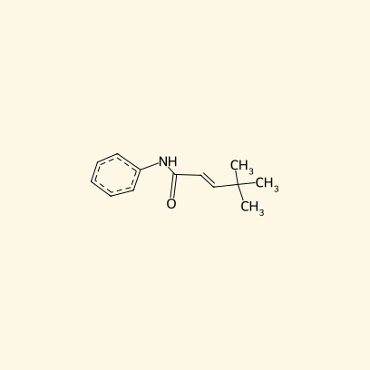 CC(C)(C)C=CC(=O)Nc1ccccc1